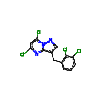 Clc1cc(Cl)n2ncc(Cc3cccc(Cl)c3Cl)c2n1